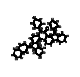 O=c1c2c(ccc3c4ccccc4n(-c4ccccc4)c32)c2c3c4ccccc4n(-c4ccc5ccccc5c4)c3ccc2n1-c1ccccc1